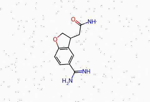 [NH]C(=O)CC1COc2ccc(C(=N)N)cc21